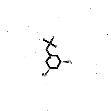 C[C@@H]1C[NH+](C[B-](F)(F)F)C[C@H](C)O1